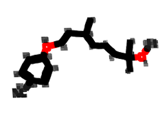 CCOC(C)(C)CCCC(C)CCOc1ccc(C#N)cc1